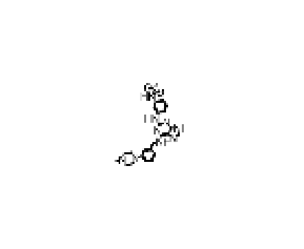 CN1CCN(c2cccc(CNc3nc(Nc4cccc(NS(C)(=O)=O)c4)nc4[nH]cnc34)c2)CC1